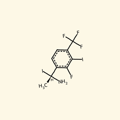 C[C@@](N)(I)c1ccc(C(F)(F)F)c(I)c1F